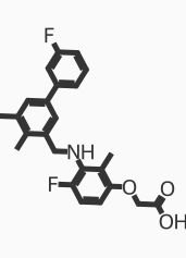 Cc1cc(-c2cccc(F)c2)cc(CNc2c(F)ccc(OCC(=O)O)c2C)c1C